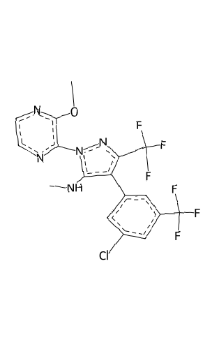 CNc1c(-c2cc(Cl)cc(C(F)(F)F)c2)c(C(F)(F)F)nn1-c1nccnc1OC